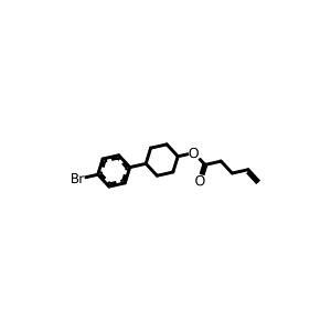 C=CCCC(=O)OC1CCC(c2ccc(Br)cc2)CC1